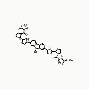 COC(=O)N[C@H](C(=O)N1CCCC1c1ncc(-c2ccc3c(c2)C(O)c2cc(-c4cnc([C@@H]5CCCN5C(=O)[C@H](C(C)C)N(C)C(=O)O)[nH]4)ccc2-3)[nH]1)C(C)C